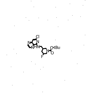 CC(C)(C)OC(=O)N1CC(F)CC(CNc2nc(Cl)cc3nccnc23)C1